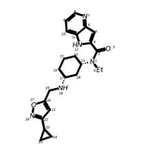 CCN(C(=O)c1cc2ncccc2[nH]1)[C@H]1CCC[C@@H](NCc2cc(C3CC3)no2)C1